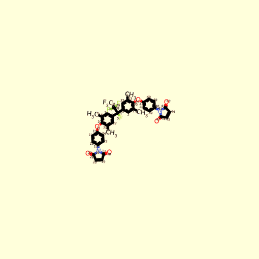 Cc1cc(C(F)(c2cc(C)c(Oc3ccc(N4C(=O)C=CC4=O)cc3)c(C)c2)C(F)(F)C(F)(F)F)cc(C)c1Oc1ccc(N2C(=O)C=CC2=O)cc1